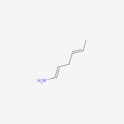 CC=CCC=CN